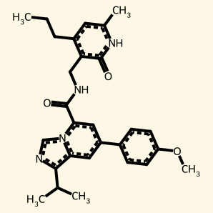 CCCc1cc(C)[nH]c(=O)c1CNC(=O)c1cc(-c2ccc(OC)cc2)cc2c(C(C)C)ncn12